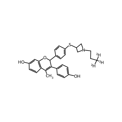 [2H]C([2H])([2H])CCN1CC(Sc2ccc(C3Oc4cc(O)ccc4C(C)=C3c3ccc(O)cc3)cc2)C1